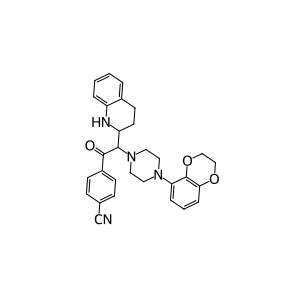 N#Cc1ccc(C(=O)C(C2CCc3ccccc3N2)N2CCN(c3cccc4c3OCCO4)CC2)cc1